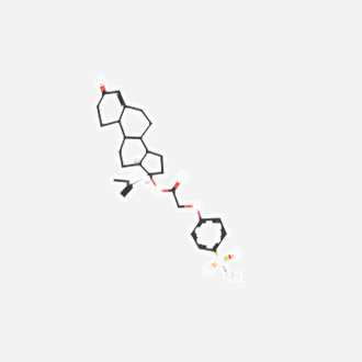 C#C[C@]1(OC(=O)COc2ccc(S(N)(=O)=O)cc2)CCC2C3CCC4=CC(=O)CCC4C3CC[C@@]21CC